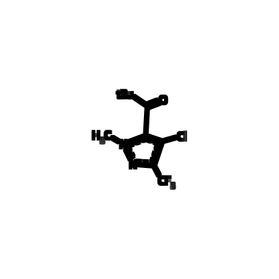 Cn1nc(C(F)(F)F)c(Cl)c1C(=O)C(C)(C)C